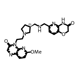 COc1ccc2ncc(=O)n(CCN3CC[C@@H](CNCc4ccc5c(n4)NC(=O)CO5)C3)c2n1